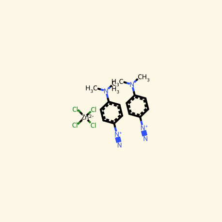 CN(C)c1ccc([N+]#N)cc1.CN(C)c1ccc([N+]#N)cc1.[Cl][Zn-2]([Cl])([Cl])[Cl]